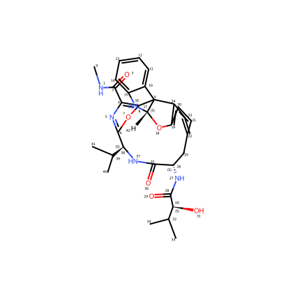 CNC(=O)c1nc2oc1C13c4ccccc4N[C@H]1Oc1ccc(cc13)C[C@H](NC(=O)[C@@H](O)C(C)C)C(=O)N[C@H]2C(C)C